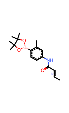 C/C=C/C(=O)Nc1ccc(B2OC(C)(C)C(C)(C)O2)c(C)c1